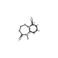 CN1C(=O)CCCn2c1cccc2=O